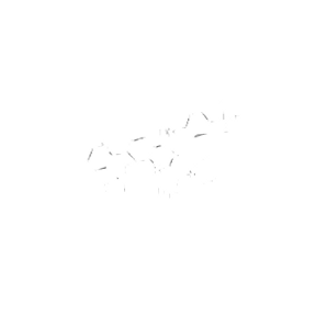 CC(c1nc(Nc2ccc(C(F)(F)F)cc2)c2ccc(-c3ncccc3C(F)(F)F)cc2n1)N1CCCCC1